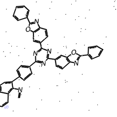 C=Nc1c(/C=C\C)cccc1-c1ccc(-c2nc(-c3ccc4nc(-c5ccccc5)oc4c3)nc(-c3ccc4nc(-c5ccccc5)oc4c3)n2)cc1